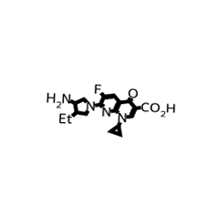 CCC1CN(c2nc3c(cc2F)c(=O)c(C(=O)O)cn3C2CC2)CC1N